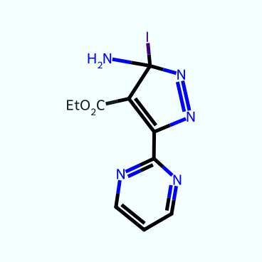 CCOC(=O)C1=C(c2ncccn2)N=NC1(N)I